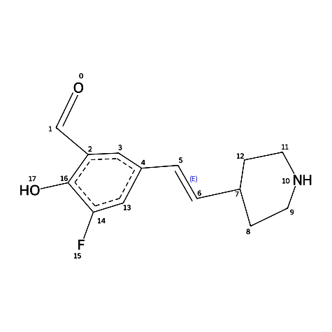 O=Cc1cc(/C=C/C2CCNCC2)cc(F)c1O